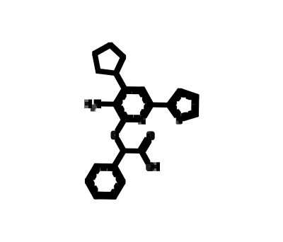 Nc1c(C2CCCC2)cc(-c2cccs2)nc1OC(C(=O)O)c1ccccc1